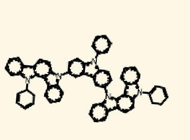 C1=CCCC(n2c3ccccc3c3c2ccc2c4ccccc4n(-c4ccc5c(c4)c4cc(-n6c7ccccc7c7c6ccc6c8ccccc8n(C8C=CC=CC8)c67)ccc4n5-c4ccccc4)c23)=C1